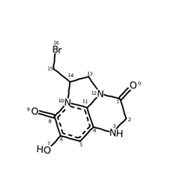 O=C1CNc2cc(O)c(=O)n3c2N1CC3CBr